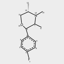 CC1C(c2ccc(F)cc2)OC[C@H](C)N1C